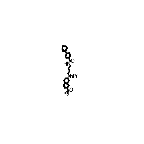 CCCN(CCCCNC(=O)c1ccc(-c2ccccc2)cc1)[C@H]1CCc2ccc(C(=O)N(C)C)cc2C1